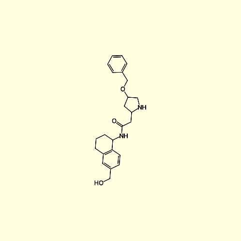 O=C(CC1CC(OCc2ccccc2)CN1)NC1CCCc2cc(CO)ccc21